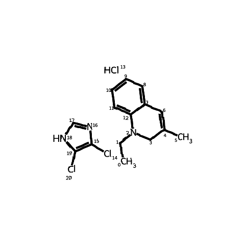 CCN1CC(C)=Cc2ccccc21.Cl.Clc1nc[nH]c1Cl